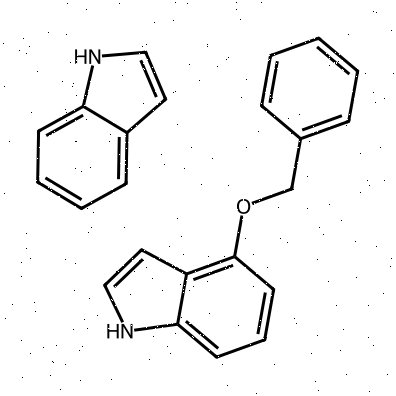 c1ccc(COc2cccc3[nH]ccc23)cc1.c1ccc2[nH]ccc2c1